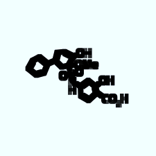 COC1(S(=O)(=O)Nc2ccc(C(=O)O)c(O)c2)CC(c2ccccc2)=CC=C1O